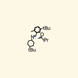 Cc1ccc(C(C)(C)C)c(O[C@H](C)C(C)C)c1/C=N/C1CCC(C(C)(C)C)CC1